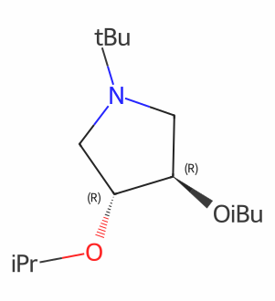 CC(C)CO[C@@H]1CN(C(C)(C)C)C[C@H]1OC(C)C